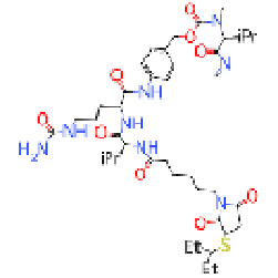 C=NC(=O)[C@H](C(C)C)N(C)C(=O)OCc1ccc(NC(=O)[C@H](CCCNC(N)=O)NC(=O)[C@@H](NC(=O)CCCCCN2C(=O)CC(SC(CC)CC)C2=O)C(C)C)cc1